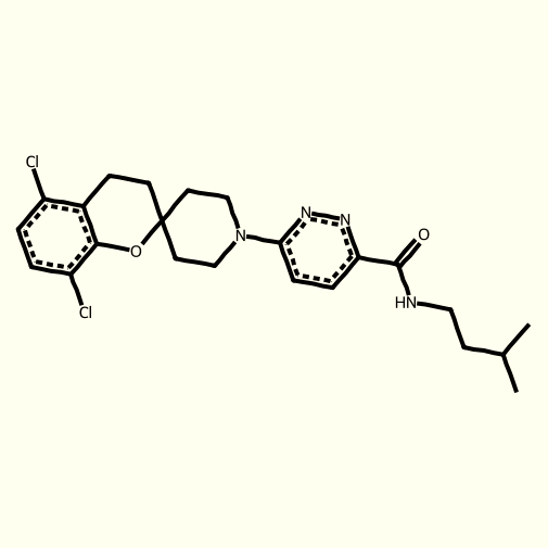 CC(C)CCNC(=O)c1ccc(N2CCC3(CCc4c(Cl)ccc(Cl)c4O3)CC2)nn1